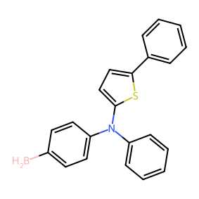 Bc1ccc(N(c2ccccc2)c2ccc(-c3ccccc3)s2)cc1